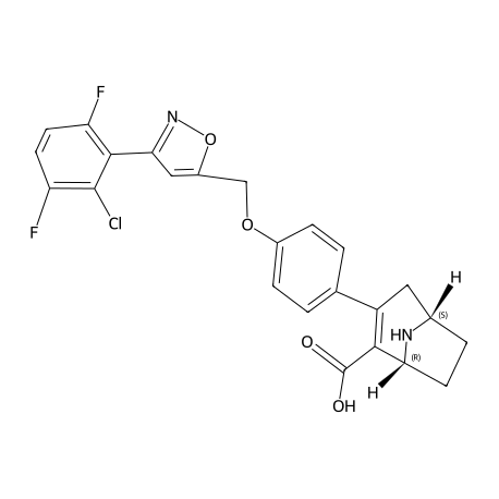 O=C(O)C1=C(c2ccc(OCc3cc(-c4c(F)ccc(F)c4Cl)no3)cc2)C[C@@H]2CC[C@H]1N2